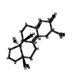 C[C@@]12CCC[C@H]1[C@@H]1CCC3=CC(=O)C(O)CC3=C1CC2